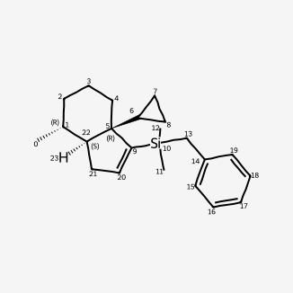 C[C@@H]1CCC[C@]2(C3CC3)C([Si](C)(C)Cc3ccccc3)=CC[C@@H]12